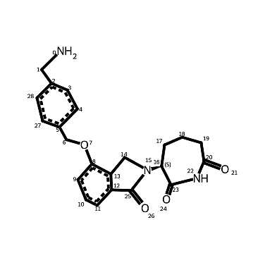 NCc1ccc(COc2cccc3c2CN([C@H]2CCCC(=O)NC2=O)C3=O)cc1